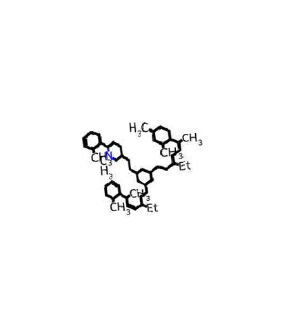 CCC(/C=C\C(C)C1C=CCCC1C)CCC1CC(CCC(CC)CCC(C)C2CCC(C)CC2C)CC(CCC2CCC(C3CCC=CC3C)N(C)C2)C1